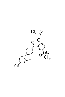 CC(=O)c1ccc(N2CCN(C(=O)c3cc(S(C)(=O)=O)ccc3OCC3(CO)CC3)CC2)c(F)c1